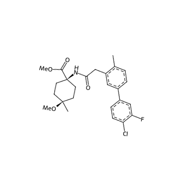 COC(=O)[C@]1(NC(=O)Cc2cc(-c3ccc(Cl)c(F)c3)ccc2C)CC[C@@](C)(OC)CC1